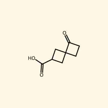 O=C(O)C1CC2(CCC2=O)C1